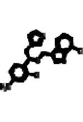 Cc1ccc(C(Cn2ccnc2)OCc2csc3c(Cl)cccc23)c(Cl)c1